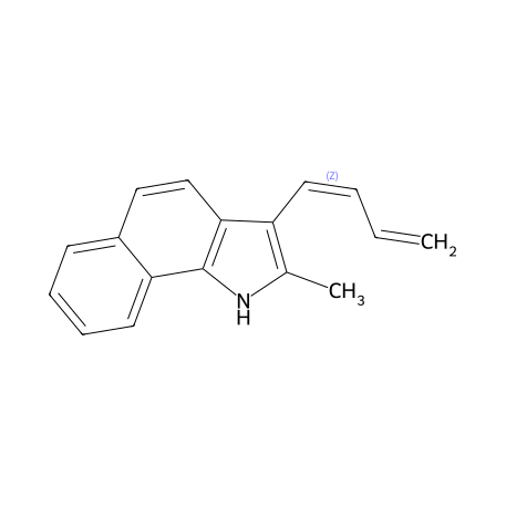 C=C/C=C\c1c(C)[nH]c2c1ccc1ccccc12